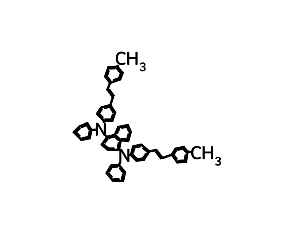 Cc1ccc(/C=C/c2ccc(N(c3ccccc3)c3ccc(N(c4ccccc4)c4ccc(/C=C/c5ccc(C)cc5)cc4)c4ccccc34)cc2)cc1